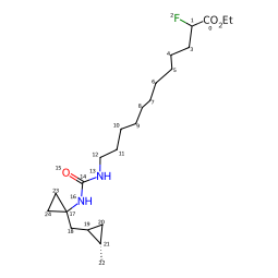 CCOC(=O)C(F)CCCCCCCCCCNC(=O)NC1(CC2C[C@@H]2C)CC1